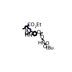 CCOC(=O)c1cc(C)[nH]c1/C=C1\C(=O)Nc2ccc(O[C@@H](C)COCCNC(=O)OC(C)(C)C)cc21